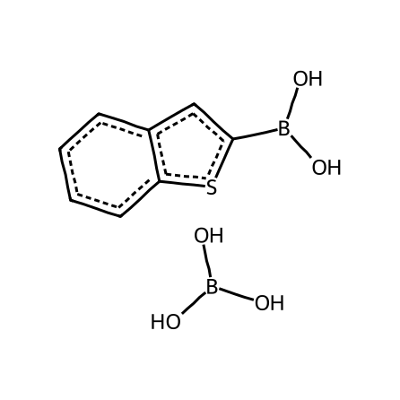 OB(O)O.OB(O)c1cc2ccccc2s1